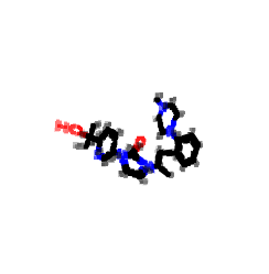 CC(Cc1ccccc1N1CCN(C)CC1)n1ccn(-c2ccc(C(C)(C)O)nc2)c1=O